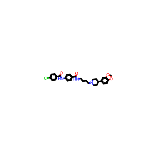 O=C(NCCCCN1CCC(c2ccc3c(c2)OCO3)CC1)c1ccc(NC(=O)c2ccc(Cl)cc2)cc1